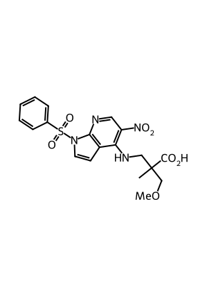 COCC(C)(CNc1c([N+](=O)[O-])cnc2c1ccn2S(=O)(=O)c1ccccc1)C(=O)O